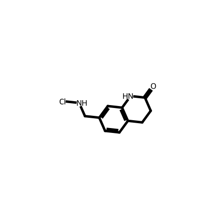 O=C1CCc2ccc(CNCl)cc2N1